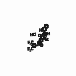 CCOc1cc2c(cc1C(=O)NCC(O)C1Cc3ccccc3CN1)CN(Cc1cc(C(F)(F)F)cc(C(F)(F)F)c1)C2=O.Cl